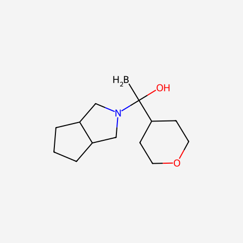 BC(O)(C1CCOCC1)N1CC2CCCC2C1